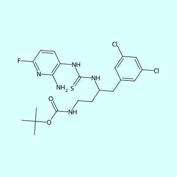 CC(C)(C)OC(=O)NCCC(Cc1cc(Cl)cc(Cl)c1)NC(=S)Nc1ccc(F)nc1N